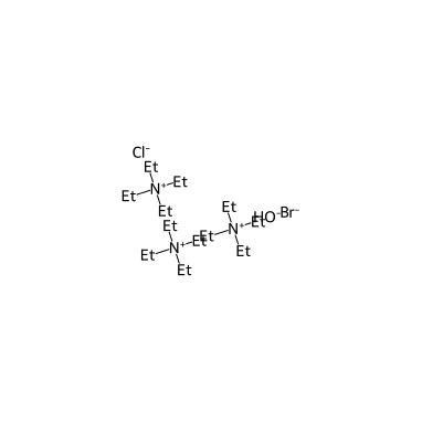 CC[N+](CC)(CC)CC.CC[N+](CC)(CC)CC.CC[N+](CC)(CC)CC.[Br-].[Cl-].[OH-]